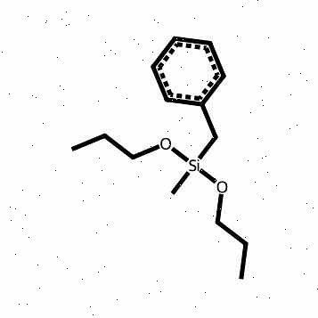 CCCO[Si](C)(Cc1ccccc1)OCCC